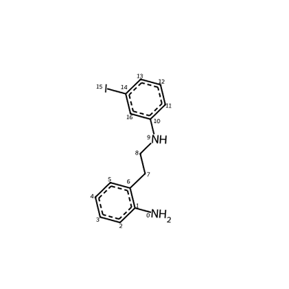 Nc1ccccc1CCNc1cccc(I)c1